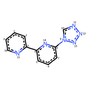 c1ccc(-c2cccc(-n3cnnn3)n2)nc1